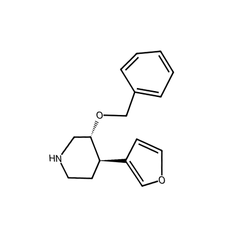 c1ccc(CO[C@H]2CNCC[C@@H]2c2ccoc2)cc1